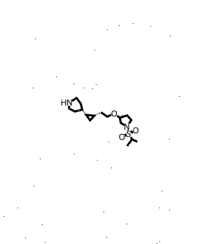 CC(C)S(=O)(=O)N1CCC(OCC[C@@H]2C[C@@H]2C2CCNCC2)C1